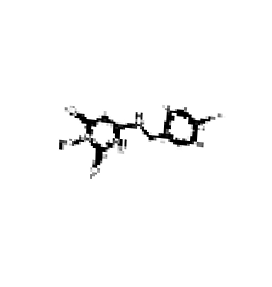 CC(C)n1c(=O)cc(NCc2ccc(F)cc2)[nH]c1=O